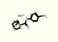 Cl.Nc1ccc(OC(=O)N2CCN3CCC2CC3)cc1